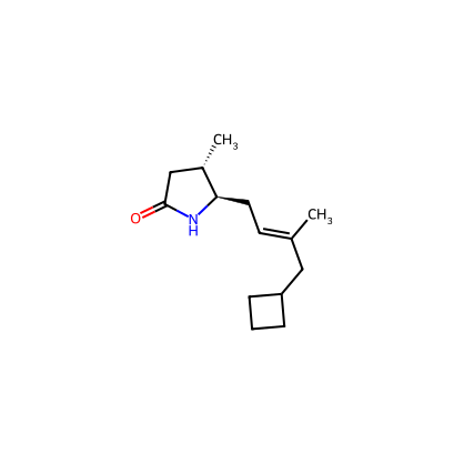 C/C(=C\C[C@H]1NC(=O)C[C@@H]1C)CC1CCC1